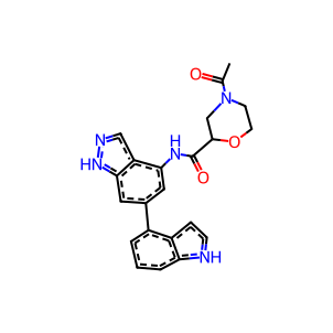 CC(=O)N1CCOC(C(=O)Nc2cc(-c3cccc4[nH]ccc34)cc3[nH]ncc23)C1